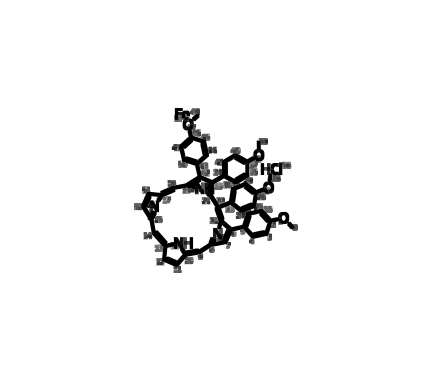 COc1ccc(C2=Cc3cc4ccc(cc5nc(cc6[nH]c(c(-c7ccc(OC)cc7)c2n3)c(-c2ccc(OC)cc2)c6-c2ccc(OC)cc2)C=C5)[nH]4)cc1.Cl.[Fe]